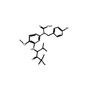 COc1ccc(C(Cc2ccc(Br)cc2)C(=O)O)cc1NC(C(=O)C(C)(C)C)C(C)C